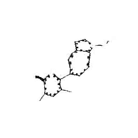 CCOn1ccc2cc(-c3[nH]c(=O)c(C(=O)O)cc3CC)ccc21